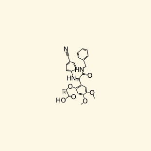 COc1cc(O[C@H](C)C(=O)O)c([C@@H](Nc2ccc(C#N)cc2)C(=O)NCc2ccccc2)cc1OC